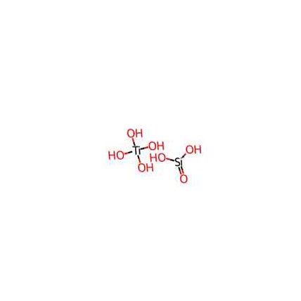 O=[Si](O)O.[OH][Ti]([OH])([OH])[OH]